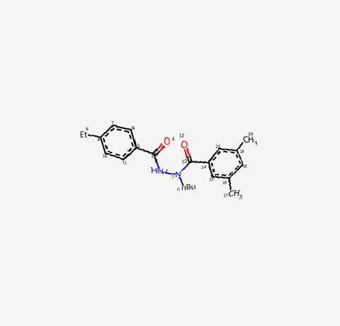 CCCCN(NC(=O)c1ccc(CC)cc1)C(=O)c1cc(C)cc(C)c1